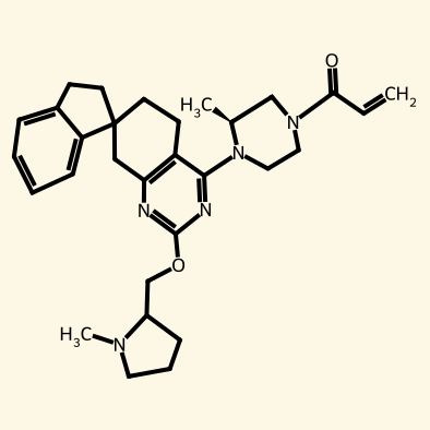 C=CC(=O)N1CCN(c2nc(OCC3CCCN3C)nc3c2CCC2(CCc4ccccc42)C3)[C@@H](C)C1